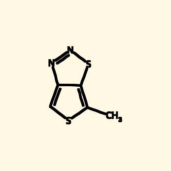 Cc1scc2nnsc12